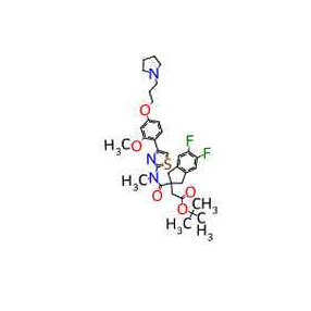 COc1cc(OCCCN2CCCC2)ccc1-c1csc(N(C)C(=O)C2(CC(=O)OC(C)(C)C)Cc3cc(F)c(F)cc3C2)n1